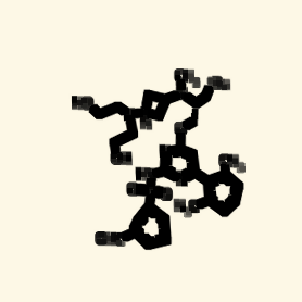 Cc1cccc(C)c1-c1cc(OC[C@@H](CC(C)(C)C)N(C)C2C[SH](N(CCO)CCO)C2)nc(NS(=O)(=O)c2cccc(C=O)c2)n1